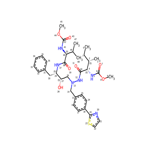 CC[C@H](C)[C@H](NC(=O)OC)C(=O)NN(Cc1ccc(-c2nccs2)cc1)C[C@H](O)[C@H](Cc1ccccc1)NC(=O)[C@@H](NC(=O)OC)C(C)C